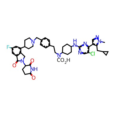 Cn1ncc(-c2nc(NC3CCC(N(CCc4ccc(CN5CCC(c6cc(F)cc7c6CN(C6CCC(=O)NC6=O)C7=O)CC5)cc4)C(=O)O)CC3)ncc2Cl)c1CC1CC1